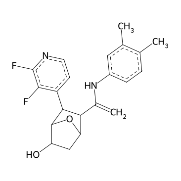 C=C(Nc1ccc(C)c(C)c1)C1C2CC(O)C(O2)C1c1ccnc(F)c1F